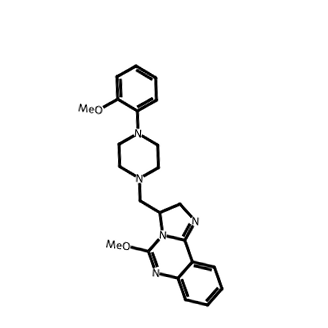 COC1=Nc2ccccc2C2=NCC(CN3CCN(c4ccccc4OC)CC3)N12